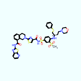 CS(=O)(=O)c1cc(S(=O)(=O)NC(=O)c2csc(N3CCc4cccc(C(=O)Nc5nc6cccnc6s5)c4C3)n2)ccc1N[C@H](CCN1CCOCC1)CSc1ccccc1